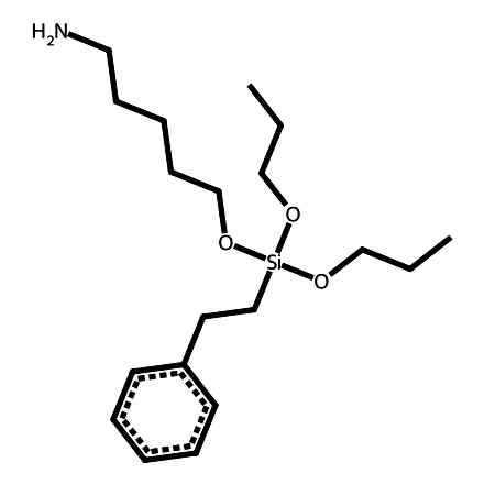 CCCO[Si](CCc1ccccc1)(OCCC)OCCCCCN